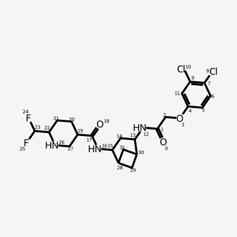 O=C(COc1ccc(Cl)c(Cl)c1)NC1CC(NC(=O)C2CCC(C(F)F)NC2)C2CC1C2